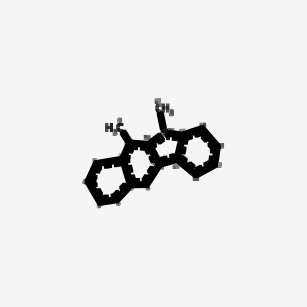 Cc1c2ccccc2cc2c3ccccc3n(C)c12